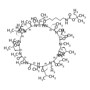 CC[C@H]1NC(=O)[C@H]([C@H](O)[C@H](C)CCCCCCNC(=O)OC(C)(C)C)N(C)C(=O)[C@@H](C(C)C)N(C)C(=O)[C@@H](CC(C)C)N(C)C(=O)[C@H](CC(C)C)N(C)C(=O)[C@H](C)NC(=O)[C@@H](C)NC(=O)[C@@H](CCC(C)C)N(C)C(=O)[C@@H](C(C)C)NC(=O)[C@H](CC(C)C)N(C)C(=O)[C@@H](C(=O)OC)N(C)C1=O